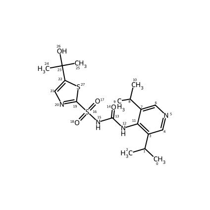 CC(C)c1cncc(C(C)C)c1NC(=O)NS(=O)(=O)c1ncc(C(C)(C)O)s1